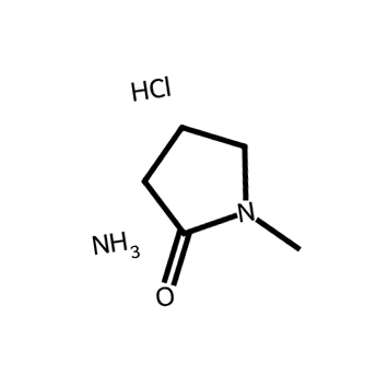 CN1CCCC1=O.Cl.N